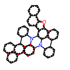 c1ccc(-c2ccc(N(c3ccccc3-c3ccccc3)c3ccc4oc5c6ccccc6ccc5c4c3N(c3ccccc3)c3ccccc3-c3cccc4ccccc34)cc2)cc1